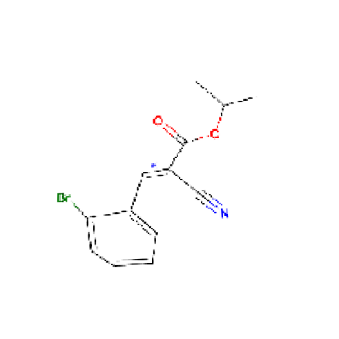 CC(C)OC(=O)/C(C#N)=C/c1ccccc1Br